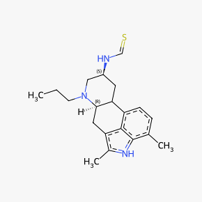 CCCN1C[C@@H](NC=S)CC2c3ccc(C)c4[nH]c(C)c(c34)C[C@H]21